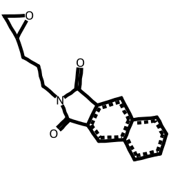 O=C1c2cc3ccccc3cc2C(=O)N1CCCC1CO1